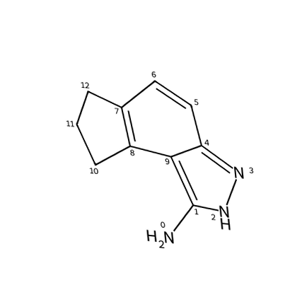 Nc1[nH]nc2ccc3c(c12)CCC3